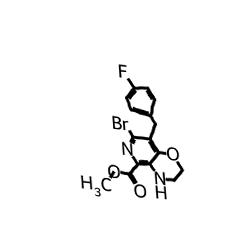 COC(=O)c1nc(Br)c(Cc2ccc(F)cc2)c2c1NCCO2